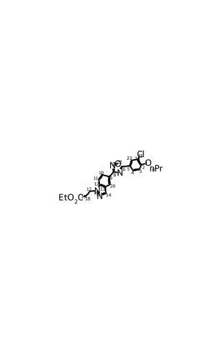 CCCOc1ccc(-c2nc(-c3ccc4c(cnn4CCC(=O)OCC)c3)no2)cc1Cl